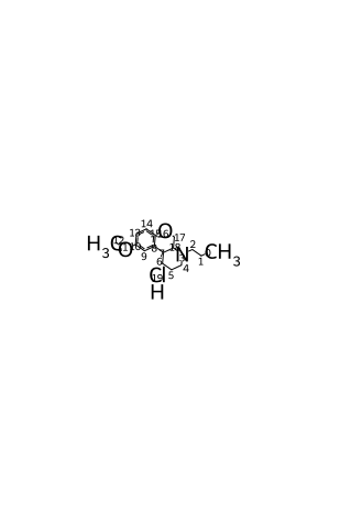 CCCN1CCCC2c3cc(OC)ccc3OCC21.Cl